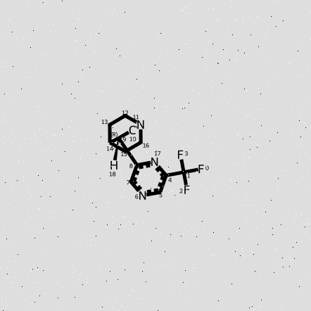 FC(F)(F)c1cncc([C@H]2CN3CCC2CC3)n1